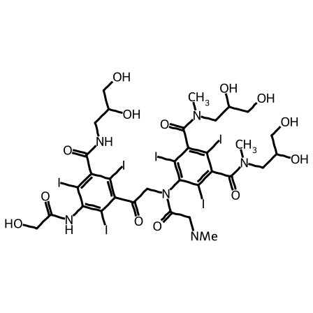 CNCC(=O)N(CC(=O)c1c(I)c(NC(=O)CO)c(I)c(C(=O)NCC(O)CO)c1I)c1c(I)c(C(=O)N(C)CC(O)CO)c(I)c(C(=O)N(C)CC(O)CO)c1I